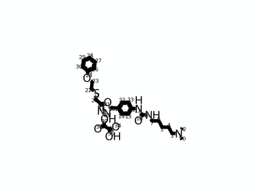 CN(C)CCCCCNC(=O)Nc1ccc(-c2nnc(CSCCOc3ccccc3)o2)cc1.O=C(O)C(=O)O